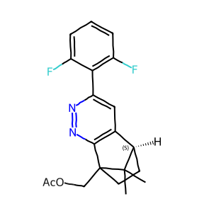 CC(=O)OCC12CC[C@H](c3cc(-c4c(F)cccc4F)nnc31)C2(C)C